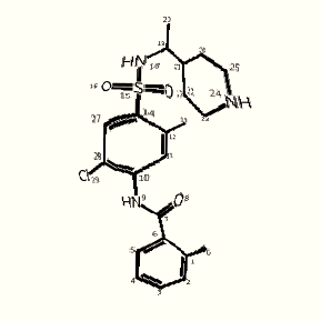 Cc1ccccc1C(=O)Nc1cc(C)c(S(=O)(=O)NC(C)C2CCNCC2)cc1Cl